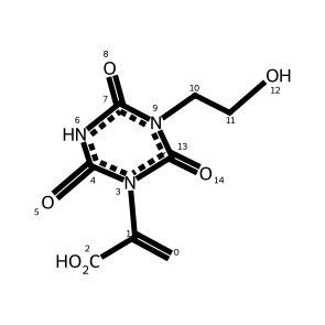 C=C(C(=O)O)n1c(=O)[nH]c(=O)n(CCO)c1=O